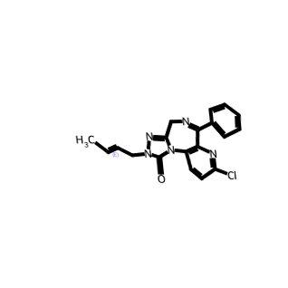 C/C=C/Cn1nc2n(c1=O)-c1ccc(Cl)nc1C(c1ccccc1)=NC2